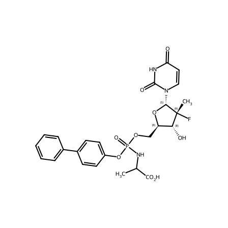 CC(NP(=O)(OC[C@H]1O[C@H](n2ccc(=O)[nH]c2=O)[C@](C)(F)[C@@H]1O)Oc1ccc(-c2ccccc2)cc1)C(=O)O